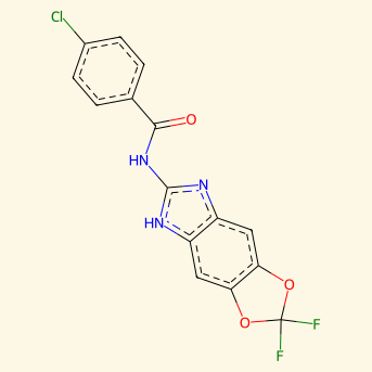 O=C(Nc1nc2cc3c(cc2[nH]1)OC(F)(F)O3)c1ccc(Cl)cc1